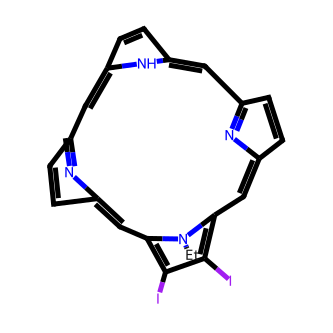 CCn1c2cc3nc(cc4ccc(cc5nc(cc1c(I)c2I)C=C5)[nH]4)C=C3